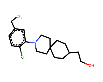 OCCC1CCC2(CC1)CCN(c1cc(CC(F)(F)F)ccc1Cl)CC2